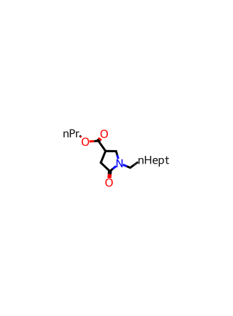 CCCCCCCCN1CC(C(=O)OCCC)CC1=O